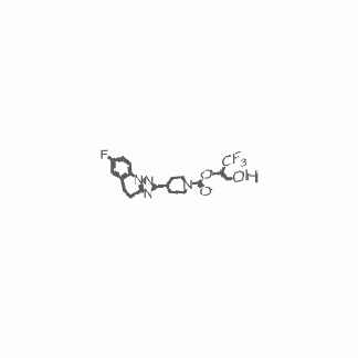 O=C(OC(CO)C(F)(F)F)N1CCC(c2nc3n(n2)-c2ccc(F)cc2CC3)CC1